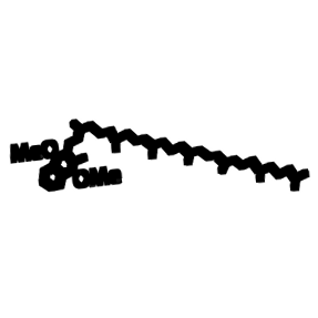 COc1c(C)c(C/C=C(\C)CC/C=C(\C)CC/C=C(\C)CC/C=C(\C)CC/C=C(\C)CC/C=C(\C)CCC=C(C)C)c(OC)c2ccccc12